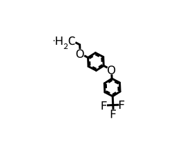 [CH2]COc1ccc(Oc2ccc(C(F)(F)F)cc2)cc1